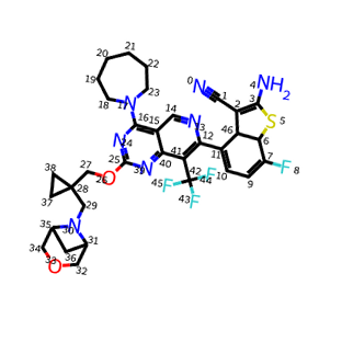 N#CC1=C(N)SC2C(F)=CC=C(c3ncc4c(N5CCCCCC5)nc(OCC5(CN6C7COCC6C7)CC5)nc4c3C(F)(F)F)C12